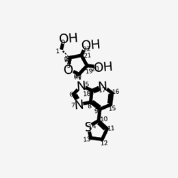 OC[C@H]1O[C@@H](n2cnc3c(C4=CCCS4)ccnc32)C(O)C1O